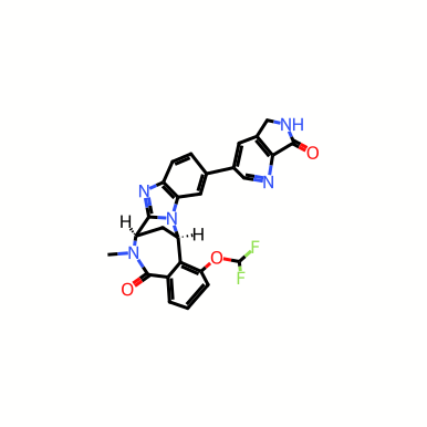 CN1C(=O)c2cccc(OC(F)F)c2[C@H]2C[C@@H]1c1nc3ccc(-c4cnc5c(c4)CNC5=O)cc3n12